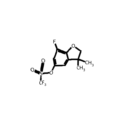 CC1(C)COc2c(F)cc(OS(=O)(=O)C(F)(F)F)cc21